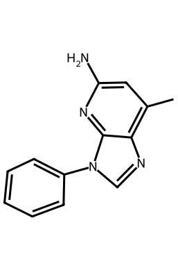 Cc1cc(N)nc2c1ncn2-c1ccccc1